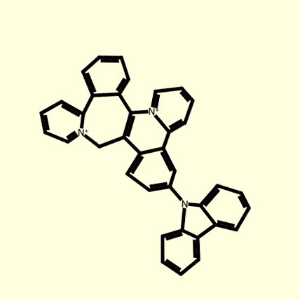 c1ccc2c(c1)-c1cccc[n+]1Cc1c-2[n+]2ccccc2c2cc(-n3c4ccccc4c4ccccc43)ccc12